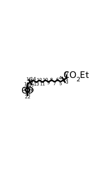 CCOC(=O)CC(C)(C)CCCCCCCCCCC(C)(C)CC1OC(C)O1